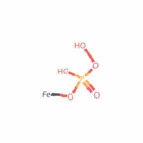 O=P(O)(OO)[O][Fe]